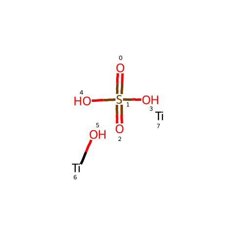 O=S(=O)(O)O.[OH][Ti].[Ti]